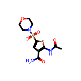 CC(=O)Nc1sc(S(=O)(=O)N2CCOCC2)cc1C(N)=O